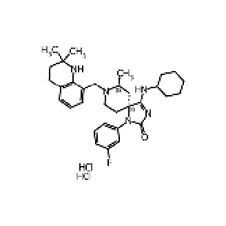 C[C@H]1C[C@]2(CCN1Cc1cccc3c1NC(C)(C)CC3)C(NC1CCCCC1)=NC(=O)N2c1cccc(F)c1.Cl.Cl